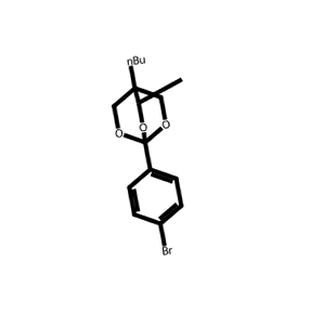 CCCCC12COC(c3ccc(Br)cc3)(OC1)OC2C